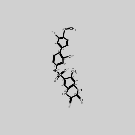 COc1ccc(-c2ccc(NS(=O)(=O)c3cc4[nH]c(=O)c(=O)[nH]c4cc3C)cc2Cl)cc1F